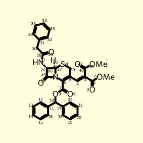 COC(=O)C(=CC1=C(C(=O)OC(c2ccccc2)c2ccccc2)N2C(=O)[C@@H](NC(=O)Cc3ccccc3)[C@H]2SC1)C(=O)OC